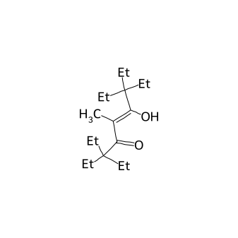 CCC(CC)(CC)C(=O)/C(C)=C(\O)C(CC)(CC)CC